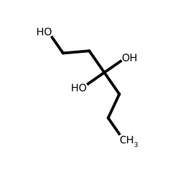 CCCC(O)(O)CCO